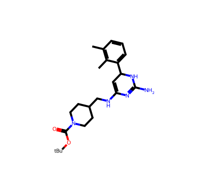 Cc1cccc(C2C=C(NCC3CCN(C(=O)OC(C)(C)C)CC3)N=C(N)N2)c1C